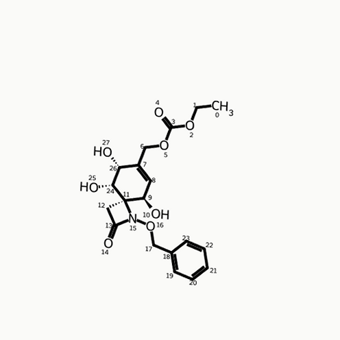 CCOC(=O)OCC1=C[C@@H](O)[C@]2(CC(=O)N2OCc2ccccc2)[C@H](O)[C@@H]1O